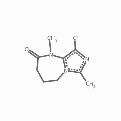 Cc1nc(Cl)c2n1CCCC(=O)N2C